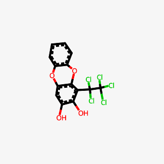 Oc1cc2c(c(C(Cl)(Cl)C(Cl)(Cl)Cl)c1O)Oc1ccccc1O2